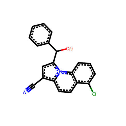 N#Cc1cc(C(O)c2ccccc2)n2c1ccc1c(Cl)cccc12